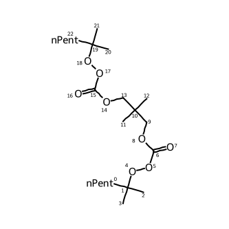 CCCCCC(C)(C)OOC(=O)OCC(C)(C)COC(=O)OOC(C)(C)CCCCC